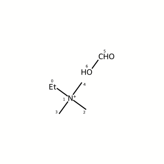 CC[N+](C)(C)C.O=CO